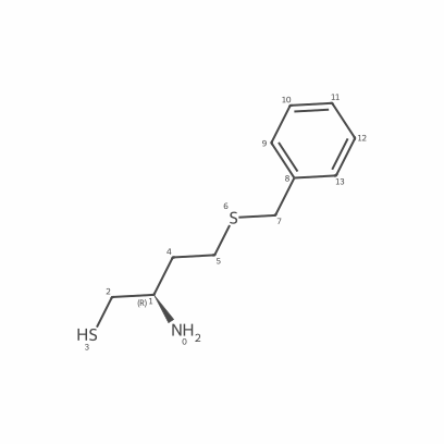 N[C@@H](CS)CCSCc1ccccc1